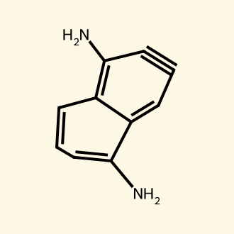 Nc1c#ccc2c(N)cccc12